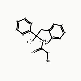 CC(Cc1ccccc1Cl)(NC(=O)CN)c1ccccc1